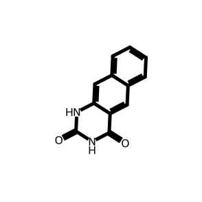 O=c1[nH]c(=O)c2cc3ccccc3cc2[nH]1